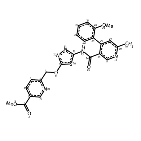 COC(=O)c1ccc(COc2nnc(NC(=O)c3cnc(C)cc3-c3ccccc3OC)s2)nc1